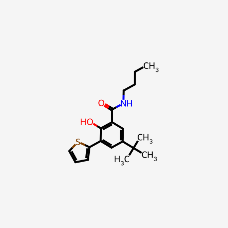 CCCCNC(=O)c1cc(C(C)(C)C)cc(-c2cccs2)c1O